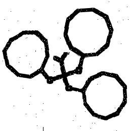 [CH2]C(C)C(OC1CCCCCCCCC1)(OC1CCCCCCCCC1)OC1CCCCCCCCC1